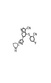 N#Cc1cc(F)ccc1Sc1cc(-c2cnn([C@H]3CCCNC3)c2)cn2ncc(C#N)c12